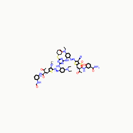 [C-]#[N+]c1cc(/C=C(\C(C)=O)C(=O)Nc2cccc(NC=O)c2)sc1/N=N/c1ccc(N(CC)CC)cc1Nc1nc(Nc2cc(N(CC)CC)ccc2/N=N/c2sc(/C=C(/C(C)=O)C(=O)Nc3cccc(C(N)=O)c3)c(S(=O)(=O)O)c2C#N)nc(SC2CCCCC2)n1